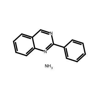 N.c1ccc(-c2ncc3ccccc3n2)cc1